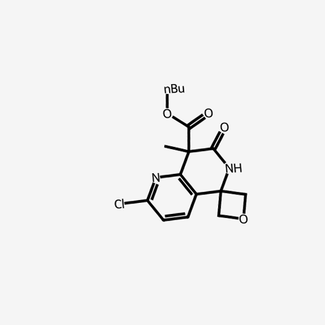 CCCCOC(=O)C1(C)C(=O)NC2(COC2)c2ccc(Cl)nc21